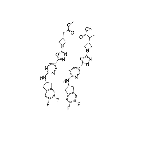 CC(C(=O)O)C1CN(c2nnc(-c3cnc(NC4Cc5cc(F)c(F)cc5C4)nc3)o2)C1.COC(=O)CC1CN(c2nnc(-c3cnc(NC4Cc5cc(F)c(F)cc5C4)nc3)o2)C1